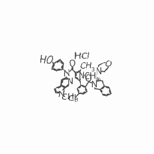 Cc1c(C(=O)N(c2ccc(O)cc2)c2cc3ccn(C)c3cn2)cc(-c2cc(Cl)ccc2C(=O)N2Cc3ccccc3C[C@H]2CN2CCOCC2)n1C.Cl